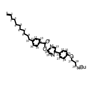 C=CCCCCCCCCCc1ccc(C(=O)Oc2cnc(-c3ccc(OCCC[C@@H](C)CC)cc3)cn2)cc1